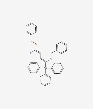 IC(=CC=[C](SCc1ccccc1)[Sn]([c]1ccccc1)([c]1ccccc1)[c]1ccccc1)SCc1ccccc1